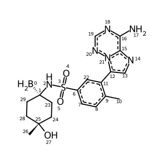 B[C@]1(NS(=O)(=O)c2ccc(C)c(-c3cnc4c(N)ncnn34)c2)CC[C@](C)(O)CC1